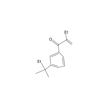 C=C(CC)C(=O)c1cccc(C(C)(C)CC)c1